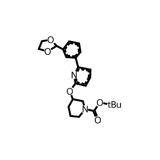 CC(C)(C)OC(=O)N1CCCC(Oc2cccc(-c3cccc(C4OCCO4)c3)n2)C1